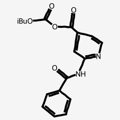 CC(C)COC(=O)OC(=O)c1ccnc(NC(=O)c2ccccc2)c1